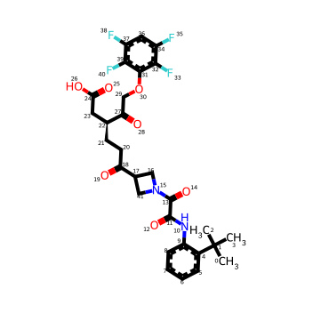 CC(C)(C)c1ccccc1NC(=O)C(=O)N1CC(C(=O)CC[C@@H](CC(=O)O)C(=O)COc2c(F)c(F)cc(F)c2F)C1